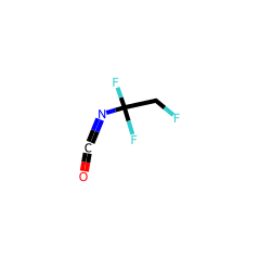 O=C=NC(F)(F)CF